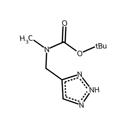 CN(Cc1cn[nH]n1)C(=O)OC(C)(C)C